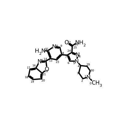 CN1CCC(n2cc(-c3cnc(N)c(-c4nc5ccccc5o4)c3)c(C(N)=O)n2)CC1